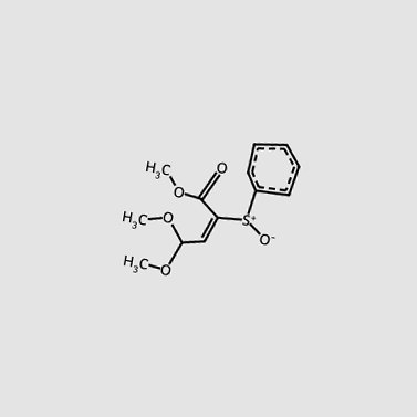 COC(=O)C(=CC(OC)OC)[S+]([O-])c1ccccc1